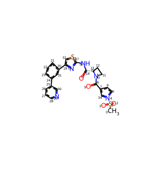 CS(=O)(=O)n1ccc(C(=O)N2CC[C@H]2C(=O)Nc2nc(-c3cccc(-c4cccnc4)c3)cs2)c1